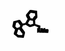 CNC[C@H]1C[C@@H](c2cccc3ccccc23)c2ccccc21